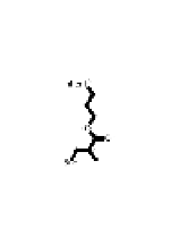 CCCCCCCCOC(=O)C(C)CBr